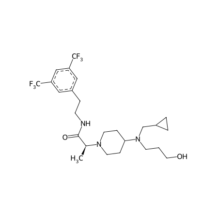 C[C@@H](C(=O)NCCc1cc(C(F)(F)F)cc(C(F)(F)F)c1)N1CCC(N(CCCO)CC2CC2)CC1